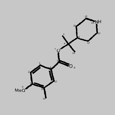 COc1ccc(C(=O)OC(C)(C)C2CCNCC2)cc1C